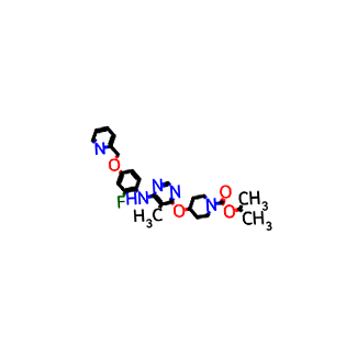 Cc1c(Nc2ccc(OCc3ccccn3)cc2F)ncnc1OC1CCN(C(=O)OC(C)C)CC1